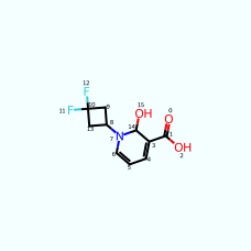 O=C(O)C1=CC=CN(C2CC(F)(F)C2)C1O